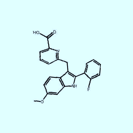 COc1ccc2c(Cc3cccc(C(=O)O)n3)c(-c3ccccc3F)[nH]c2c1